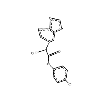 O=CN(C(=O)Nc1ccc(Cl)cc1)c1ccc2ocnc2c1